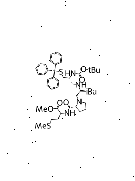 CC[C@H](C)[C@@H](CN1CCC[C@H]1C(=O)N[C@@H](CCSC)C(=O)OC)NC[C@H](CSC(c1ccccc1)(c1ccccc1)c1ccccc1)NC(=O)OC(C)(C)C